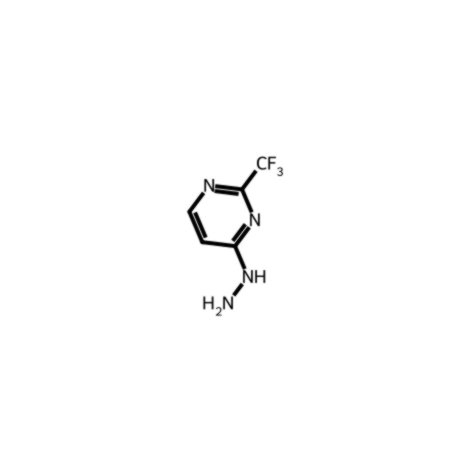 NNc1ccnc(C(F)(F)F)n1